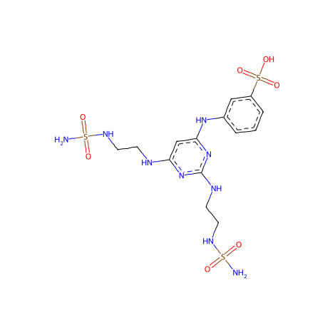 NS(=O)(=O)NCCNc1cc(Nc2cccc(S(=O)(=O)O)c2)nc(NCCNS(N)(=O)=O)n1